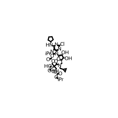 CC(C)OC(=O)OCC(COC(=O)OC(C)C)(C(=O)N(CC1CC1)C[C@H]1O[C@@H](n2cnc3c(NC4CCCC4)nc(Cl)nc32)[C@H](O)[C@@H]1O)P(=O)(O)O